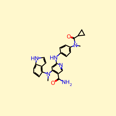 CN(C(=O)C1CC1)c1ccc(Nc2cc(N(C)c3cccc4[nH]ccc34)c(C(N)=O)cn2)cc1